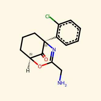 NCC1=N[C@]2(c3ccccc3Cl)CCC[C@H](O1)C2=O